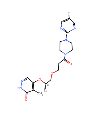 CC[C@H](COCCC(=O)N1CCN(c2ncc(Cl)cn2)CC1)Oc1cn[nH]c(=O)c1C